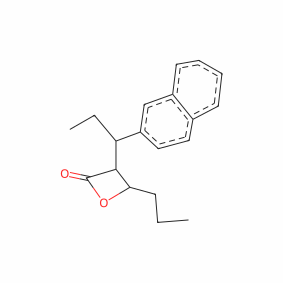 CCCC1OC(=O)C1C(CC)c1ccc2ccccc2c1